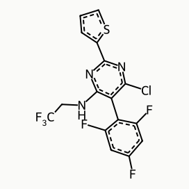 Fc1cc(F)c(-c2c(Cl)nc(-c3cccs3)nc2NCC(F)(F)F)c(F)c1